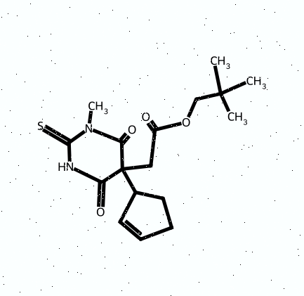 CN1C(=O)C(CC(=O)OCC(C)(C)C)(C2C=CCC2)C(=O)NC1=S